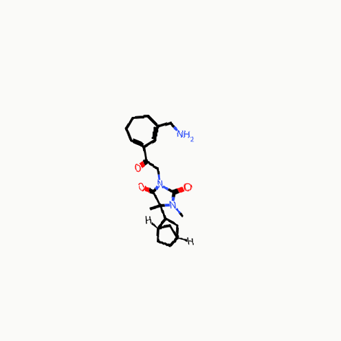 CN1C(=O)N(CC(=O)C2=CCCCC(CN)=C2)C(=O)C1(C)C1C[C@@H]2CC[C@H]1C2